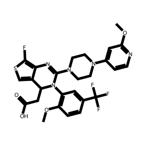 COc1cc(N2CCN(C3=Nc4c(csc4F)C(CC(=O)O)N3c3cc(C(F)(F)F)ccc3OC)CC2)ccn1